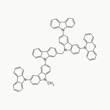 Cn1c2ccc(-n3c4ccccc4c4ccccc43)cc2c2cc(-n3c4ccccc4c4ccc(Cn5c6ccc(N7c8ccccc8Sc8ccccc87)cc6c6cc(-n7c8ccccc8c8ccccc87)ccc65)cc43)ccc21